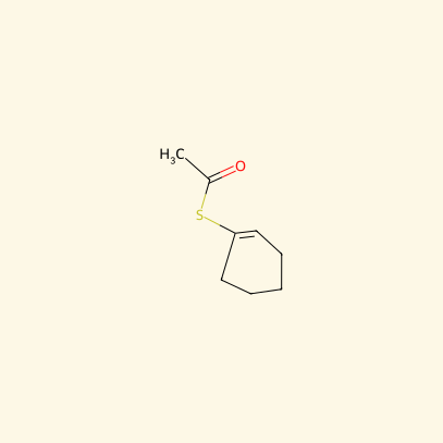 CC(=O)SC1=CCCCC1